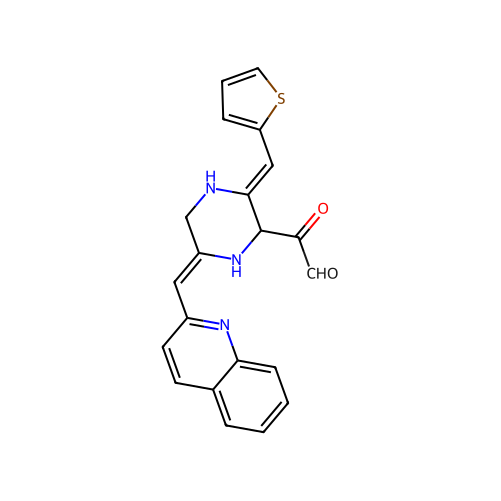 O=CC(=O)C1NC(=Cc2ccc3ccccc3n2)CNC1=Cc1cccs1